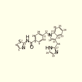 O=C(Nc1nccs1)c1ccc(Cn2cc(Cc3ncc[nH]3)c3ccccc32)cc1